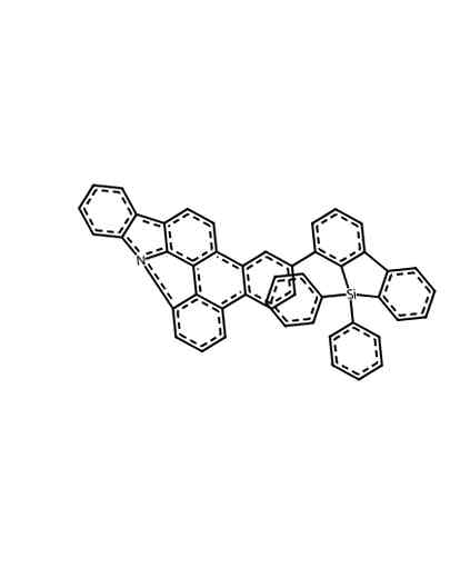 c1ccc([Si]2(c3ccccc3)c3ccccc3-c3cccc(-c4ccc5c(c4)c4ccc6c7ccccc7n7c8cccc5c8c4c67)c32)cc1